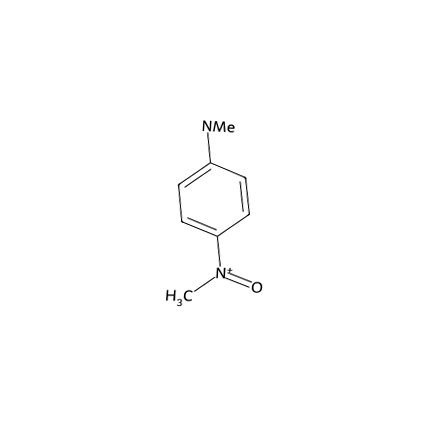 CNc1ccc([N+](C)=O)cc1